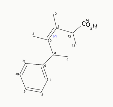 C/C(=C(\C)C(C)c1ccccc1)C(C)C(=O)O